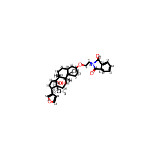 C[C@]12CCC(OCCN3C(=O)c4ccccc4C3=O)CC1CC[C@@H]1[C@H]2CC[C@]2(C)C(c3ccoc3)CC[C@@]12O